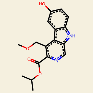 COCc1c(C(=O)OC(C)C)ncc2[nH]c3ccc(O)cc3c12